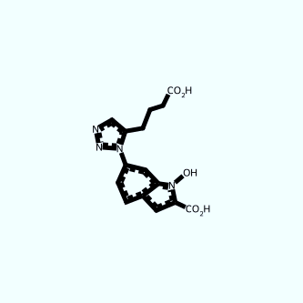 O=C(O)CCCc1cnnn1-c1ccc2cc(C(=O)O)n(O)c2c1